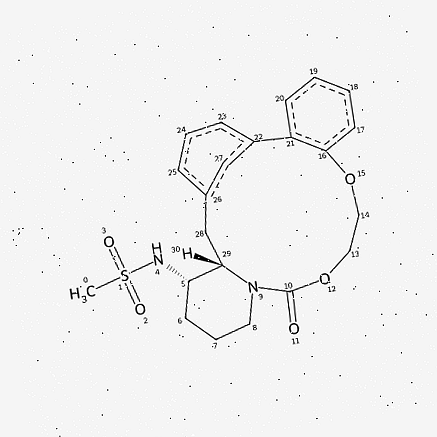 CS(=O)(=O)N[C@H]1CCCN2C(=O)OCCOc3ccccc3-c3cccc(c3)C[C@@H]12